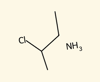 CCC(C)Cl.N